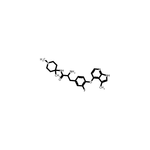 Cc1c[nH]c2nccc(Oc3ccc(CC(N)C(=O)NC4(C)CCN(C)CC4)cc3F)c12